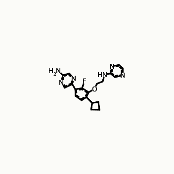 Nc1cnc(-c2ccc(C3CCC3)c(OCCNc3cnccn3)c2F)cn1